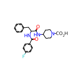 O=C(NC(Cc1ccccc1)C(=O)NC1CCN(C(=O)O)CC1)c1ccc(F)cc1